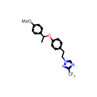 COc1ccc(C(C)Oc2ccc(CCn3cnc(C(F)(F)F)n3)cc2)cc1